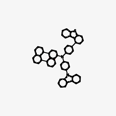 c1ccc(-c2cccc3cccc(-c4ccc(N(c5ccc(-c6cccc7sc8ccccc8c67)cc5)c5ccc(-n6c7ccccc7c7ccccc76)cc5)cc4)c23)cc1